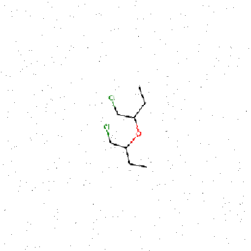 CCC(CCl)OC(CC)CCl